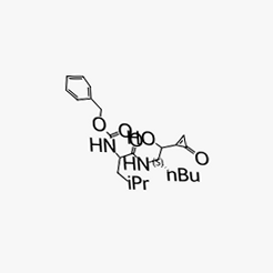 CCCC[C@H](NC(=O)C(CC(C)C)NC(=O)OCc1ccccc1)C(O)c1cc1=O